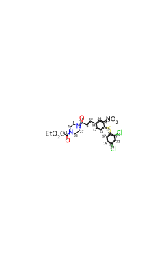 CCOC(=O)C(=O)N1CCN(C(=O)C=Cc2ccc(Sc3ccc(Cl)cc3Cl)c([N+](=O)[O-])c2)CC1